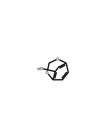 Oc1cc2ccc1OCO2